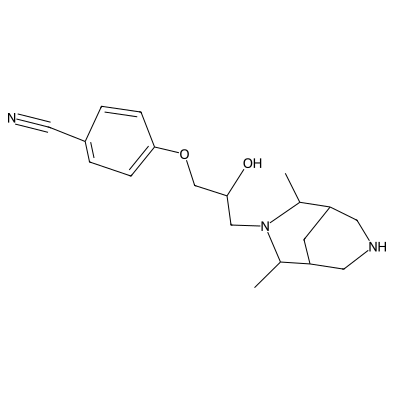 CC1C2CNCC(C2)C(C)N1CC(O)COc1ccc(C#N)cc1